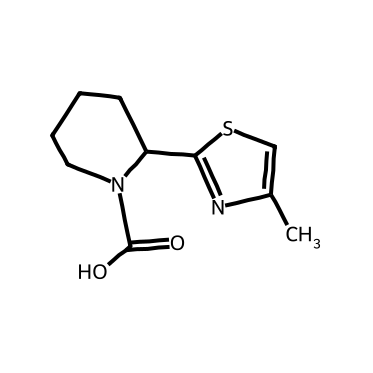 Cc1csc(C2CCCCN2C(=O)O)n1